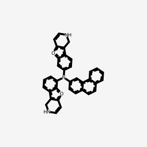 C1=Cc2oc3cc(N(c4ccc5ccc6ccccc6c5c4)c4cccc5c6c(oc45)C=CNC6)ccc3c2CN1